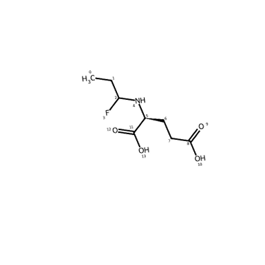 CCC(F)N[C@@H](CCC(=O)O)C(=O)O